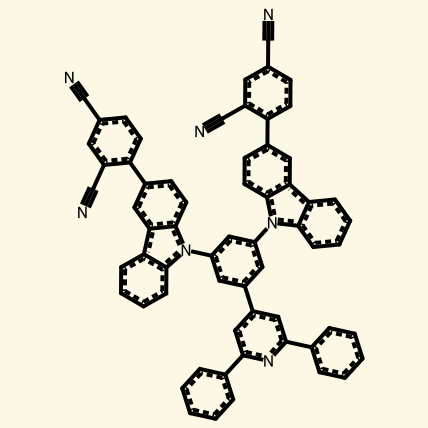 N#Cc1ccc(-c2ccc3c(c2)c2ccccc2n3-c2cc(-c3cc(-c4ccccc4)nc(-c4ccccc4)c3)cc(-n3c4ccccc4c4cc(-c5ccc(C#N)cc5C#N)ccc43)c2)c(C#N)c1